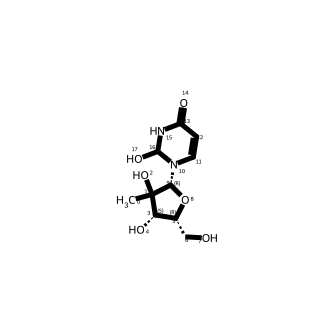 CC1(O)[C@@H](O)[C@@H](CO)O[C@H]1N1C=CC(=O)NC1O